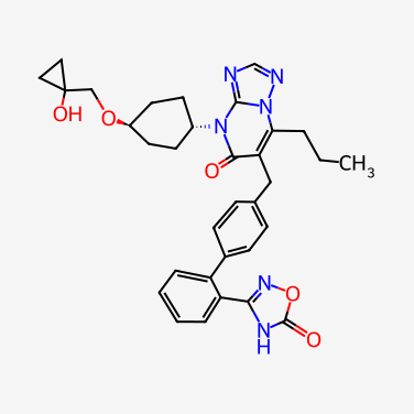 CCCc1c(Cc2ccc(-c3ccccc3-c3noc(=O)[nH]3)cc2)c(=O)n([C@H]2CC[C@H](OCC3(O)CC3)CC2)c2ncnn12